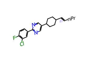 CCC/C=C/C1CCC(c2cnc(-c3ccc(F)c(Cl)c3)nc2)CC1